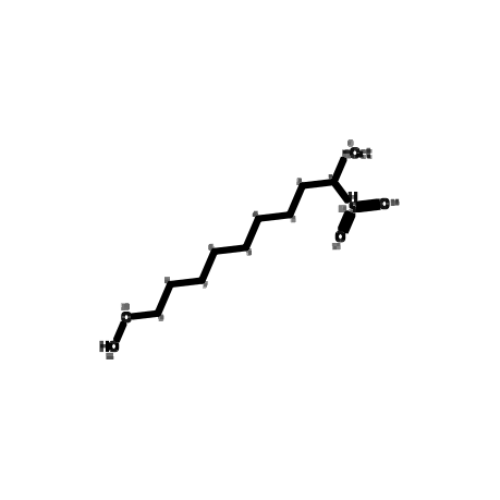 CCCCCCCCC(CCCCCCCCOO)[SH](=O)=O